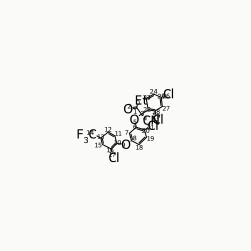 CCC(=O)C(C#N)(Oc1cc(Oc2ccc(C(F)(F)F)cc2Cl)ccc1Cl)c1ccc(Cl)cc1Cl